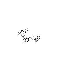 COC(=O)[C@@H]1C[C@H](Oc2c(F)ccc(C[C@H]3CC[C@](c4ccccc4)(N(C)C)CC3)c2F)CN1C(=O)OC(C)(C)C